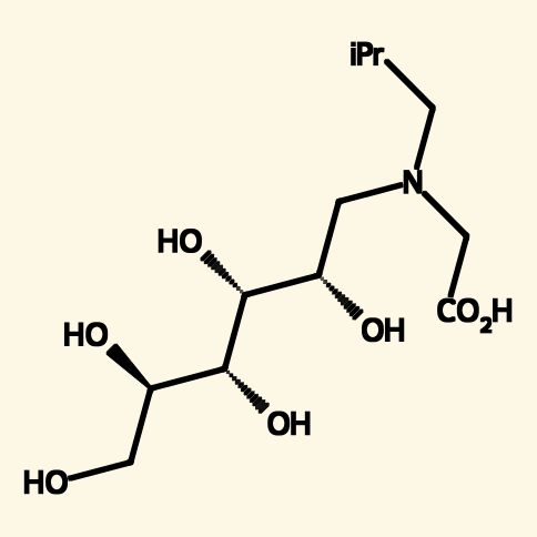 CC(C)CN(CC(=O)O)C[C@H](O)[C@@H](O)[C@H](O)[C@H](O)CO